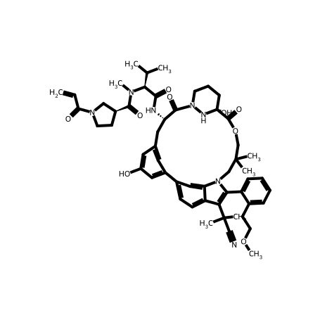 C=CC(=O)N1CC[C@H](C(=O)N(C)[C@H](C(=O)N[C@H]2Cc3cc(O)cc(c3)-c3ccc4c(C(C)(C)C#N)c(-c5ccccc5CCOC)n(c4c3)CC(C)(C)COC(=O)[C@@]3(O)CCCN(N3)C2=O)C(C)C)C1